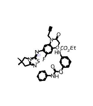 C#CCN1C(=O)COc2cc(F)c(/N=c3\snc4n3CC(C)(C)C4)cc21.CCOC(=O)Nc1cccc(OC(=O)Nc2ccccc2)c1